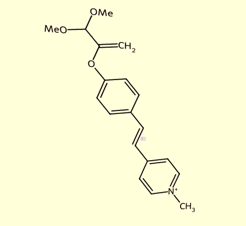 C=C(Oc1ccc(/C=C/c2cc[n+](C)cc2)cc1)C(OC)OC